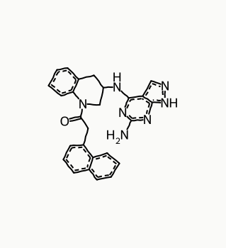 Nc1nc(NC2Cc3ccccc3N(C(=O)Cc3cccc4ccccc34)C2)c2cn[nH]c2n1